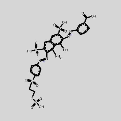 Nc1c(/N=N/c2ccc(S(=O)(=O)CCOS(=O)(=O)O)cc2)c(S(=O)(=O)O)cc2cc(S(=O)(=O)O)c(/N=N/c3cccc(C(=O)O)c3)c(O)c12